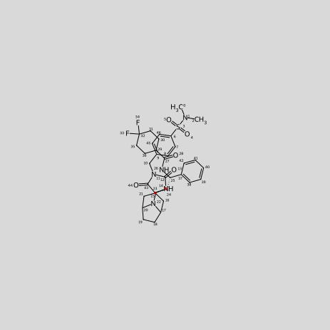 CN(C)S(=O)(=O)c1ccc(CN2C(=O)NC3(CC4CCC(C3)N4CC[C@H](NC(=O)C3CCC(F)(F)CC3)c3ccccc3)C2=O)cc1